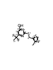 Cc1ncsc1CSc1nc(O)cc(C(C)(F)F)n1